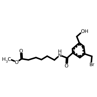 COC(=O)CCCCCNC(=O)c1cc(CO)cc(CBr)c1